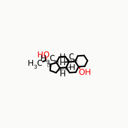 CC(O)[C@H]1CC[C@H]2[C@@H]3CCC4(O)CCCC[C@]4(C)[C@H]3CC[C@]12C